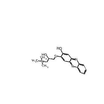 C[N+](C)(C)CC(O)COc1cc2nc3ccccc3nc2cc1O